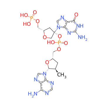 C[C@@H]1C[C@@H](COP(=O)(O)O[C@]2(n3cnc4c(=O)[nH]c(N)nc43)CO[C@H](COP(=O)(O)O)C2)O[C@H]1n1cnc2c(N)ncnc21